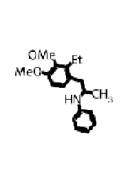 CCc1c(CC(C)Nc2ccccc2)ccc(OC)c1OC